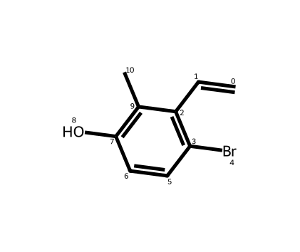 C=Cc1c(Br)ccc(O)c1C